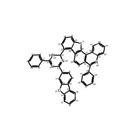 c1ccc(C2=NC(c3ccc4c(c3)oc3ccccc34)=NC(c3cccc4sc5c(ccc6c(-c7ccccc7)nc7ccccc7c65)c34)N2)cc1